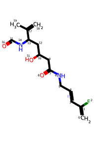 C=C(F)/C=C/CNC(=O)CC(O)CC(NC=O)C(=C)C